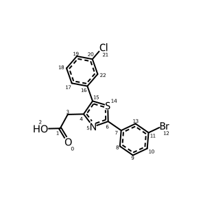 O=C(O)Cc1nc(-c2cccc(Br)c2)sc1-c1cccc(Cl)c1